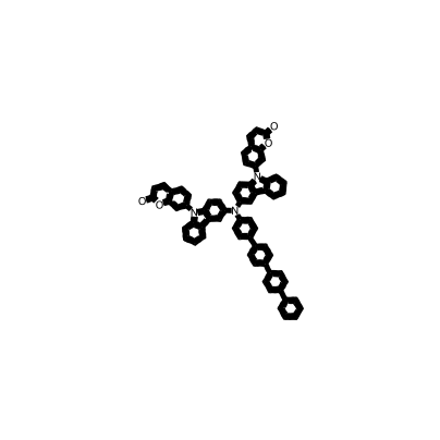 O=c1ccc2ccc(-n3c4ccccc4c4cc(N(c5ccc(-c6ccc(-c7ccc(-c8ccccc8)cc7)cc6)cc5)c5ccc6c(c5)c5ccccc5n6-c5ccc6ccc(=O)oc6c5)ccc43)cc2o1